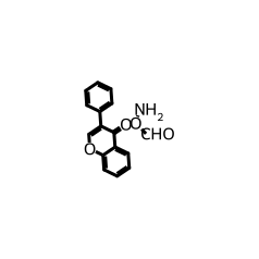 NOC=O.O=c1c(-c2ccccc2)coc2ccccc12